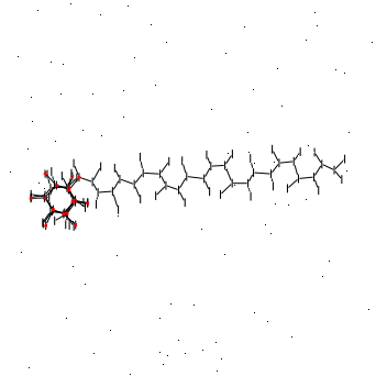 II(I)I(I)I(I)I(I)I(I)I(I)I(I)I(I)I(I)I(I)I(I)I(I)I(I)I(I)I(I)I(I)I(I)I(I)I(I)I(I)I(I)I(I)I(I)I(I)I(I)I(I)I(I)I(I)I(I)I(I)I(I)I(I)I(I)I(I)I(I)I(I)I(I)I(I)I(I)I(I)I(I)I(I)I(I)I(I)I(I)I